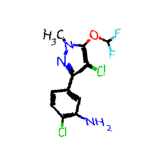 Cn1nc(-c2ccc(Cl)c(N)c2)c(Cl)c1OC(F)F